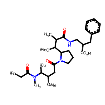 CCC(C)C(C(CC(=O)N1CCCC1C(OC)C(C)C(=O)NCC(Cc1ccccc1)C(=O)O)OC)N(C)C(=O)CC(C)C